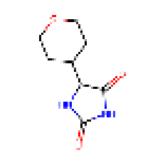 O=C1NC(=O)C(C2CCOCC2)N1